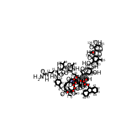 CCN(C(=O)OCc1ccc(NC(=O)[C@H](CCCNC(N)=O)NC(=O)[C@@H](NC(=O)[C@H](CCCCNC(=O)OCC2c3ccccc3-c3ccccc32)NC(C)=O)C(C)C)cc1)[C@H]1CO[C@@H](O[C@H]2[C@H](O[C@H]3C#CC=CC#C[C@]4(O)CC(=O)C(NC(=O)OC)=C3/C4=C\CSS[C@H](C)CO)O[C@H](C)[C@@H](NO[C@H]3C[C@H](O)[C@H]([SH]=C(O)c4c(C)c(I)c(O[C@@H]5O[C@@H](C)[C@H](O)[C@@H](OC)[C@H]5O)c(OC)c4OC)[C@@H](C)O3)[C@@H]2O)C[C@@H]1OC